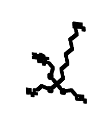 CCOC(CCCCCCC[SiH3])(OCC)OCC.[O-2].[Zn+2]